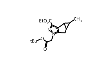 CCOC(=O)c1nn(CC(=O)OC(C)(C)C)c2c1C1C(C)C1C2